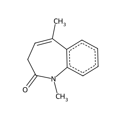 CC1=CCC(=O)N(C)c2ccccc21